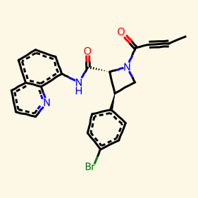 CC#CC(=O)N1C[C@@H](c2ccc(Br)cc2)[C@@H]1C(=O)Nc1cccc2cccnc12